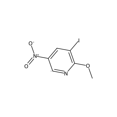 COc1n[c]c([N+](=O)[O-])cc1I